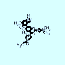 C=CC(=O)N1CCN(c2nc(N3CC(N(C)C)C3)nc3c2C[C@H](C)[C@@H](c2c(Cl)c(C)cc4[nH]ncc24)C3)CC1